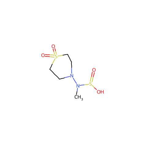 CN(N1CCS(=O)(=O)CC1)S(=O)O